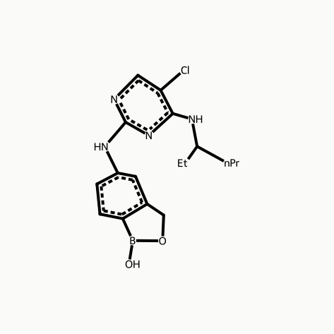 CCCC(CC)Nc1nc(Nc2ccc3c(c2)COB3O)ncc1Cl